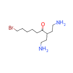 NCCC(CCN)C(=O)CCCCCBr